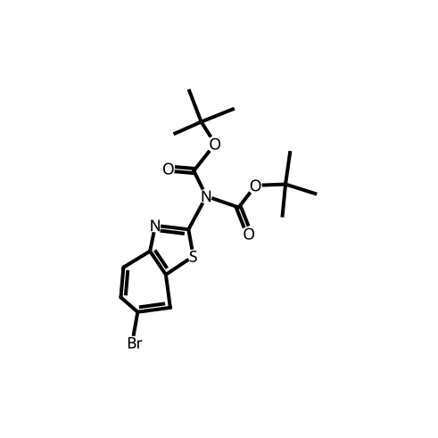 CC(C)(C)OC(=O)N(C(=O)OC(C)(C)C)c1nc2ccc(Br)cc2s1